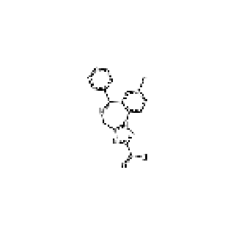 O=C(Cl)c1nc2n(n1)-c1ccc(Cl)cc1C(c1ccccc1)=NC2